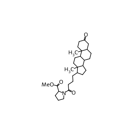 COC(=O)C1CCCN1C(=O)CCCC1CCC2C3CCC4CC(=O)CCC4(C)C3CCC12C